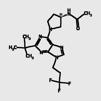 CC(=O)N[C@H]1CCN(c2nc(C(C)(C)C)nc3c2ncn3CCC(F)(F)F)C1